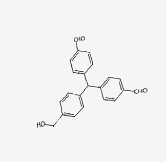 O=Cc1ccc(C(c2ccc(C=O)cc2)c2ccc(CO)cc2)cc1